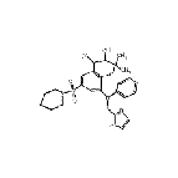 CC1(C)Oc2c(cc(S(=O)(=O)N3CCCCC3)cc2N(Cc2ncc[nH]2)c2ccccc2)C(Cl)C1O